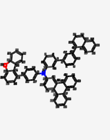 c1cc(-c2cccc(N(c3ccc(-c4cccc5oc6ccccc6c45)cc3)c3ccc4c5ccccc5c5ccccc5c4c3)c2)cc(-c2cccc3ccccc23)c1